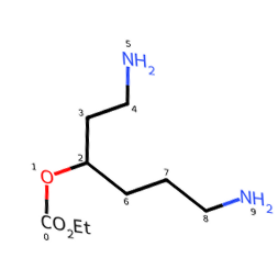 CCOC(=O)OC(CCN)CCCN